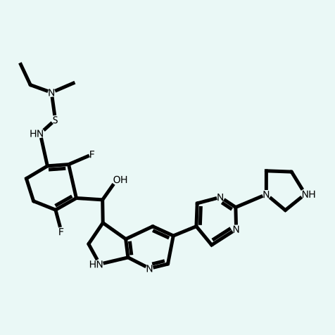 CCN(C)SNC1=C(F)C(C(O)C2CNc3ncc(-c4cnc(N5CCNC5)nc4)cc32)=C(F)CC1